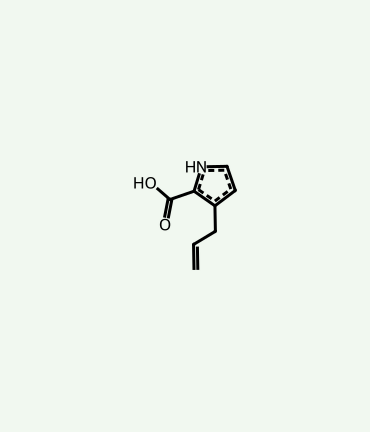 C=CCc1cc[nH]c1C(=O)O